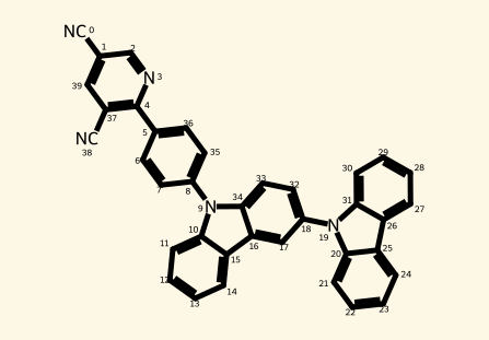 N#Cc1cnc(-c2ccc(-n3c4ccccc4c4cc(-n5c6ccccc6c6ccccc65)ccc43)cc2)c(C#N)c1